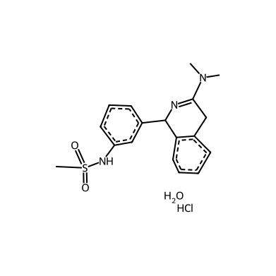 CN(C)C1=NC(c2cccc(NS(C)(=O)=O)c2)c2ccccc2C1.Cl.O